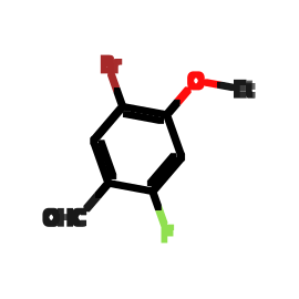 CCOc1cc(F)c(C=O)cc1Br